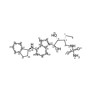 CC[C@H](CNS(N)(=O)=O)[C@@H](O)[C@@H](O)n1cnc2c(N[C@H]3CCc4ccccc43)ncnc21